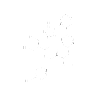 CCCCCN(Cc1ccc(-c2ccccc2-c2nnn[nH]2)cc1)C(=O)[C@H](Cc1ccc(O)cc1)NC(=O)C(CS)CC(C)C